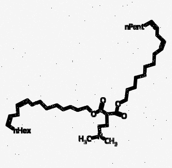 CCCCC/C=C\C/C=C\CCCCCCCCOC(=O)C(CCN(C)C)C(=O)OCCCCCCCC/C=C\C/C=C\CCCCCC